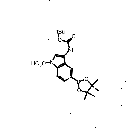 CC(C)(C)OC(=O)Nc1cn(C(=O)O)c2ccc(B3OC(C)(C)C(C)(C)O3)cc12